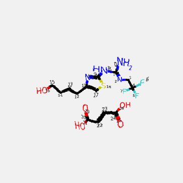 NC(=NCC(F)(F)F)Nc1nc(CCCCO)cs1.O=C(O)C=CC(=O)O